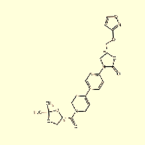 CC1(C)OC[C@@H](C(=O)N2CC=C(c3ccc(N4C[C@H](COc5ccon5)OC4=O)cc3)CC2)O1